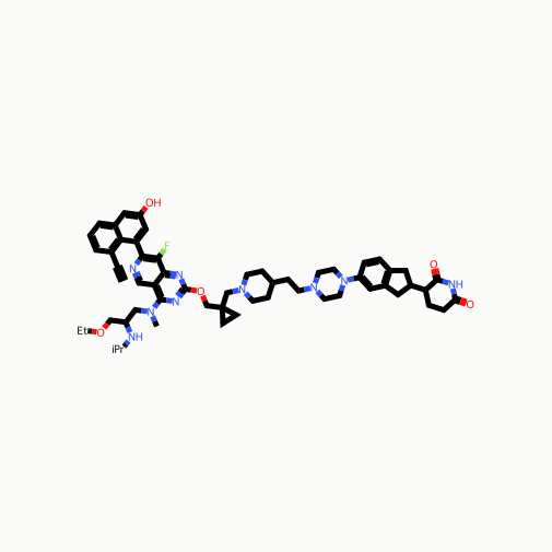 C#Cc1cccc2cc(O)cc(-c3ncc4c(N(C)CC(COCC)NC(C)C)nc(OCC5(CN6CCC(CCN7CCN(c8ccc9c(c8)CC(C8CCC(=O)NC8=O)C9)CC7)CC6)CC5)nc4c3F)c12